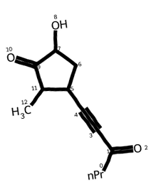 CCCC(=O)C#CC1CC(O)C(=O)C1C